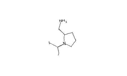 CC(I)N1CCCC1CN